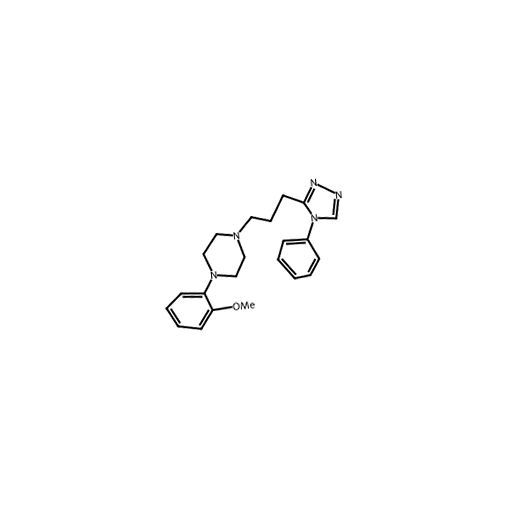 COc1ccccc1N1CCN(CCCc2nncn2-c2ccccc2)CC1